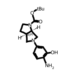 CC(C)(C)OC(=O)N1CC[C@@H]2CN(c3ccc(N)c(O)c3)C[C@@H]21